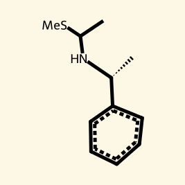 CSC(C)N[C@H](C)c1ccccc1